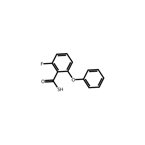 O=C(S)c1c(F)cccc1Oc1ccccc1